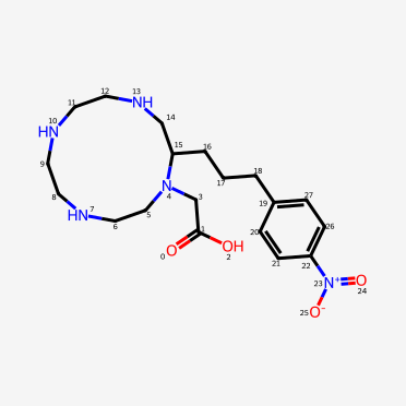 O=C(O)CN1CCNCCNCCNCC1CCCc1ccc([N+](=O)[O-])cc1